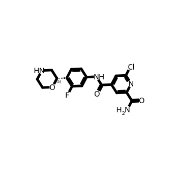 NC(=O)c1cc(C(=O)Nc2ccc([C@H]3CNCCO3)c(F)c2)cc(Cl)n1